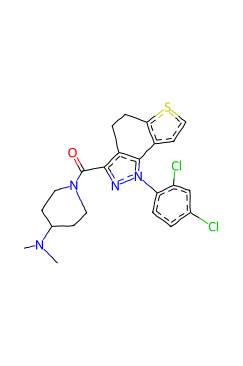 CN(C)C1CCN(C(=O)c2nn(-c3ccc(Cl)cc3Cl)c3c2CCc2sccc2-3)CC1